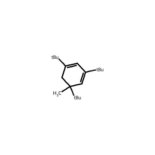 CC(C)(C)C1=CC(C)(C(C)(C)C)CC(C(C)(C)C)=C1